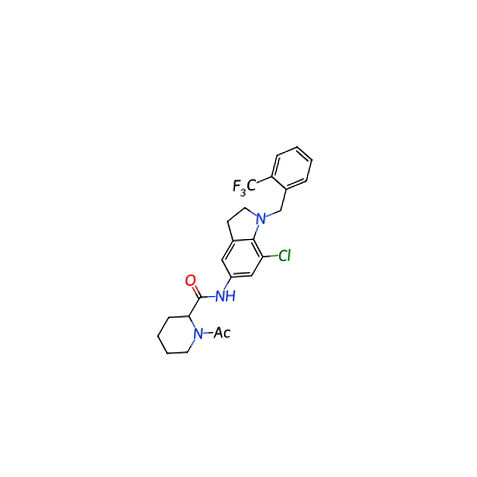 CC(=O)N1CCCCC1C(=O)Nc1cc(Cl)c2c(c1)CCN2Cc1ccccc1C(F)(F)F